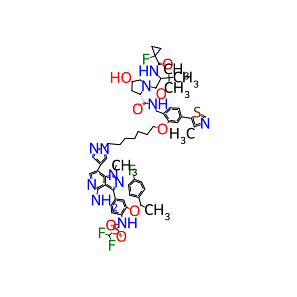 Cc1ncsc1-c1ccc(CNC(=O)[C@@H]2C[C@@H](O)CN2C(=O)C(NC(=O)C2(F)CC2)C(C)(C)C)c(OCCCCCCCn2cc(-c3cnc(N)c4c(-c5ccc(NS(=O)(=O)C(F)F)c(OC(C)c6ccc(F)cc6)c5)nn(C)c34)cn2)c1